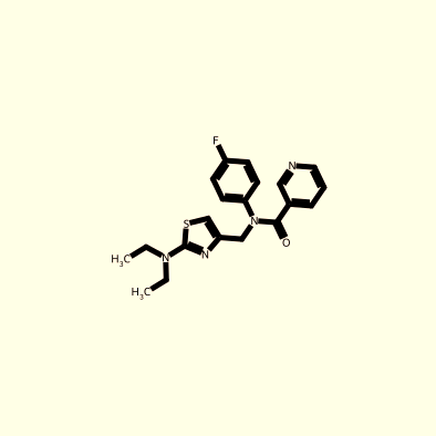 CCN(CC)c1nc(CN(C(=O)c2cccnc2)c2ccc(F)cc2)cs1